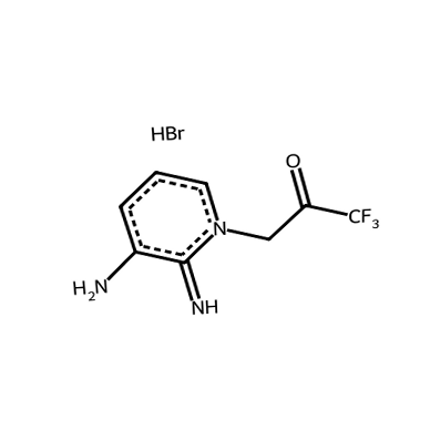 Br.N=c1c(N)cccn1CC(=O)C(F)(F)F